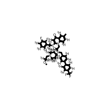 [2H]c1c([2H])c(F)c(F)c(C([2H])([2H])Sc2c([2H])c(=O)c3c([2H])c(C)c([2H])c([2H])c3n2CC(=O)N(Cc2c([2H])c([2H])c(-c3c([2H])c([2H])c(C(F)(F)F)c([2H])c3[2H])c([2H])c2[2H])C2([2H])C([2H])([2H])C([2H])([2H])N(CC([2H])([2H])OC)C([2H])([2H])C2([2H])[2H])c1[2H]